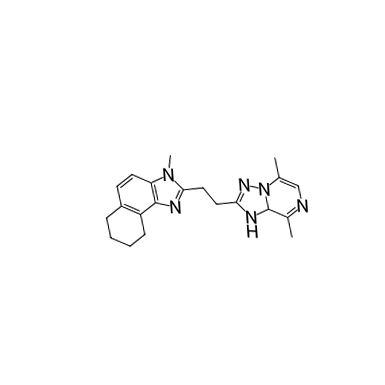 CC1=CN=C(C)C2NC(CCc3nc4c5c(ccc4n3C)CCCC5)=NN12